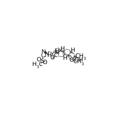 COC[C@]12CC[C@@](C)(O)C[C@@H]1CC[C@H]1[C@@H]3CC[C@H](C(=O)Cn4cc(S(C)(=O)=O)cn4)[C@@]3(C)CC[C@@H]12